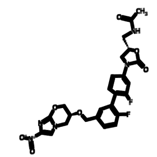 CC(=O)NC[C@H]1CN(c2ccc(-c3cc(CO[C@@H]4COc5nc([N+](=O)[O-])cn5C4)ccc3F)c(F)c2)C(=O)O1